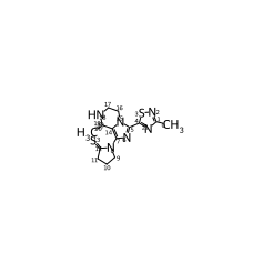 Cc1nsc(-c2nc(N3CCCC3=S)c3n2CCN[C@@H]3C)n1